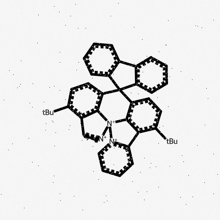 CC(C)(C)c1ccc2c3c1-c1cccc[n+]1[N+]31c3c(ccc(C(C)(C)C)c3-c3cccc[n+]31)C21c2ccccc2-c2ccccc21